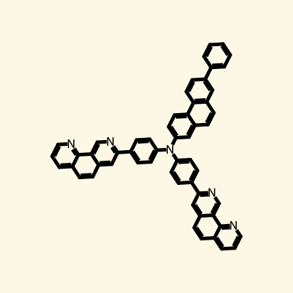 c1ccc(-c2ccc3c(ccc4cc(N(c5ccc(-c6cc7ccc8cccnc8c7cn6)cc5)c5ccc(-c6cc7ccc8cccnc8c7cn6)cc5)ccc43)c2)cc1